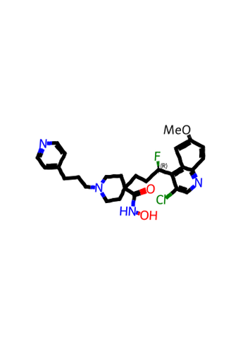 COc1ccc2ncc(Cl)c([C@H](F)CCC3(C(=O)NO)CCN(CCCc4ccncc4)CC3)c2c1